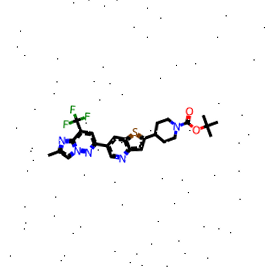 Cc1cn2nc(-c3cnc4cc(C5CCN(C(=O)OC(C)(C)C)CC5)sc4c3)cc(C(F)(F)F)c2n1